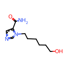 NC(=O)c1cncn1CCCCCCO